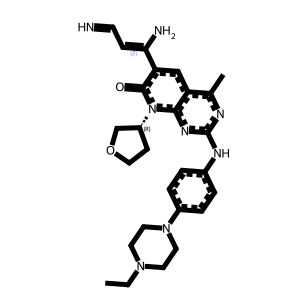 CCN1CCN(c2ccc(Nc3nc(C)c4cc(/C(N)=C/C=N)c(=O)n([C@@H]5CCOC5)c4n3)cc2)CC1